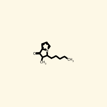 CCCCCC1C(C)C(=O)c2cccn21